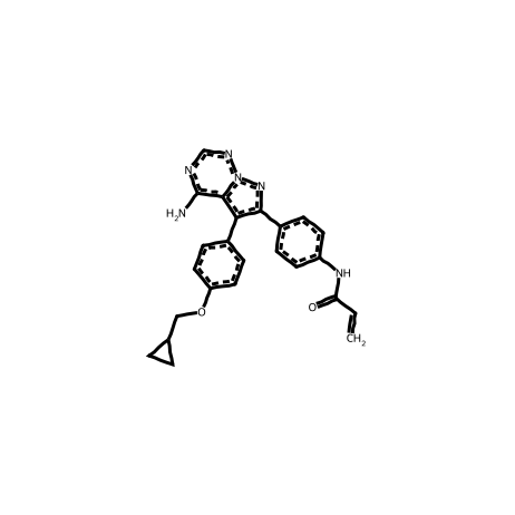 C=CC(=O)Nc1ccc(-c2nn3ncnc(N)c3c2-c2ccc(OCC3CC3)cc2)cc1